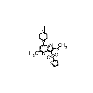 CSc1nn2c(N3CCNCC3)cc(C)nc2c1S(=O)(=O)c1cccs1